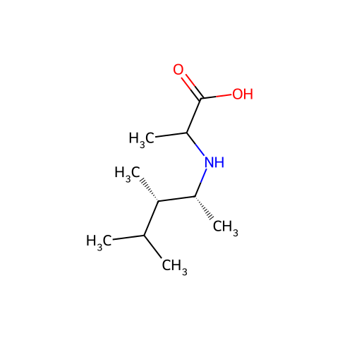 CC(N[C@H](C)[C@@H](C)C(C)C)C(=O)O